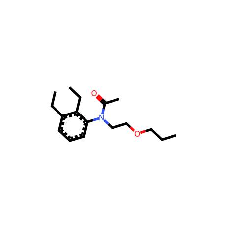 CCCOCCN(C(C)=O)c1cccc(CC)c1CC